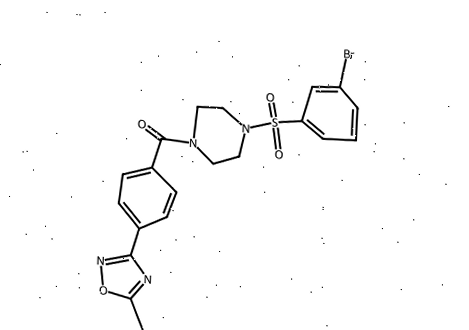 Cc1nc(-c2ccc(C(=O)N3CCN(S(=O)(=O)c4cccc(Br)c4)CC3)cc2)no1